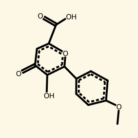 COc1ccc(-c2oc(C(=O)O)cc(=O)c2O)cc1